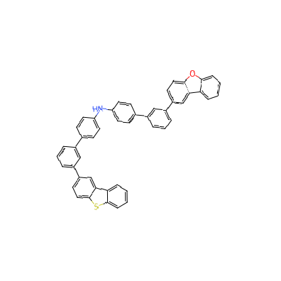 c1cc(-c2ccc(Nc3ccc(-c4cccc(-c5ccc6sc7ccccc7c6c5)c4)cc3)cc2)cc(-c2ccc3oc4ccccc4c3c2)c1